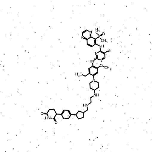 CCc1cc(Nc2ncc(Br)c(Nc3ccc4nccnc4c3P(C)(C)=O)n2)c(OC)cc1N1CCC(NCCNCC2CCC(C3=CC=C(C4CCC(=O)NC4=O)CC3)C2)CC1